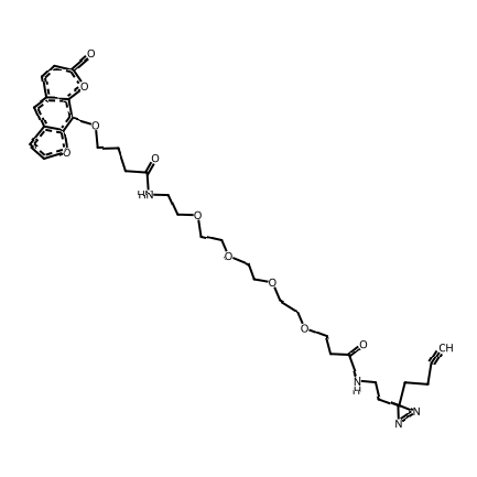 C#CCCC1(CCNC(=O)CCOCCOCCOCCOCCNC(=O)CCCOc2c3occc3cc3ccc(=O)oc23)N=N1